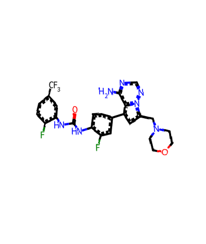 Nc1ncnn2c(CN3CCOCC3)cc(-c3ccc(NC(=O)Nc4cc(C(F)(F)F)ccc4F)c(F)c3)c12